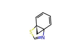 C1=CC23C[C@]2(C=C1)SC=N3